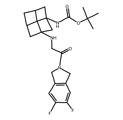 CC(C)(C)OC(=O)NC12CC3CC4CC(NCC(=O)N5Cc6cc(F)c(F)cc6C5)(C1)C432